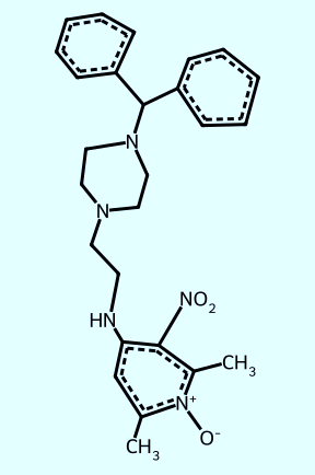 Cc1cc(NCCN2CCN(C(c3ccccc3)c3ccccc3)CC2)c([N+](=O)[O-])c(C)[n+]1[O-]